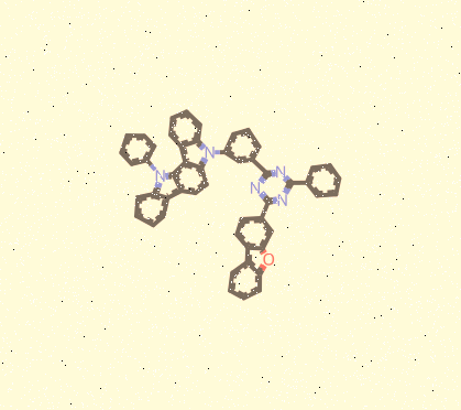 c1ccc(-c2nc(-c3cccc(-n4c5ccccc5c5c4ccc4c6ccccc6n(-c6ccccc6)c45)c3)nc(-c3ccc4c(c3)oc3ccccc34)n2)cc1